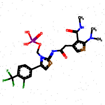 CNC(=O)c1c(CC(=O)/N=c2\scc(-c3ccc(C(F)(F)F)c(F)c3)n2COP(=O)(O)O)csc1N(C)C